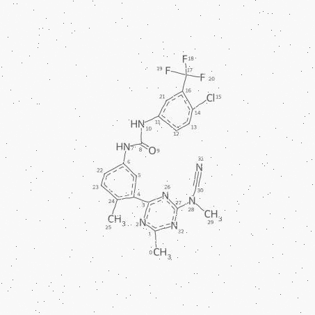 Cc1nc(-c2cc(NC(=O)Nc3ccc(Cl)c(C(F)(F)F)c3)ccc2C)nc(N(C)C#N)n1